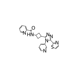 O=C(NC1CC(c2nnc(-c3nccs3)n2-c2cccnc2)C1)c1ccccn1